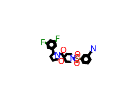 N#Cc1cccc(S(=O)(=O)N2CCC3(CC2)OC2CCC(c4cc(F)cc(F)c4)N2C3=O)c1